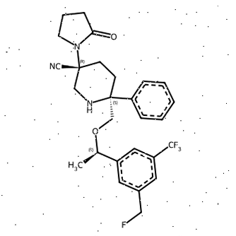 C[C@@H](OC[C@@]1(c2ccccc2)CC[C@@](C#N)(N2CCCC2=O)CN1)c1cc(CF)cc(C(F)(F)F)c1